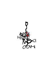 O=C(CCC1CCCC1)NC1(C(F)(F)F)C(=O)Nc2nc3c(C(=O)O)cc(Cl)cc3n21